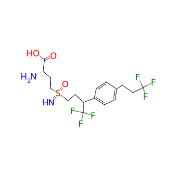 N=S(=O)(CCC(c1ccc(CCC(F)(F)F)cc1)C(F)(F)F)CC[C@H](N)C(=O)O